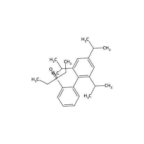 CCP(=O)(CC)c1ccccc1-c1c(C(C)C)cc(C(C)C)cc1C(C)C